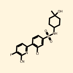 CC1(O)CCC(NS(=O)(=O)c2ccc(-c3ccc(F)c(C#N)n3)c(Cl)c2)CC1